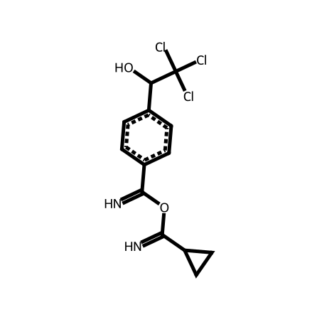 N=C(OC(=N)C1CC1)c1ccc(C(O)C(Cl)(Cl)Cl)cc1